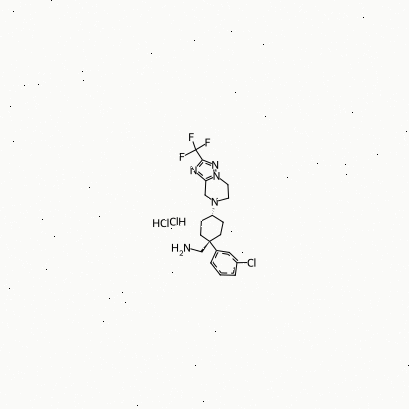 Cl.Cl.NC[C@]1(c2cccc(Cl)c2)CC[C@@H](N2CCn3nc(C(F)(F)F)nc3C2)CC1